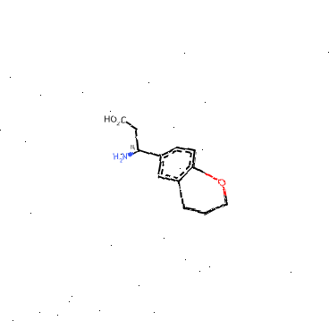 N[C@@H](CC(=O)O)c1ccc2c(c1)CCCO2